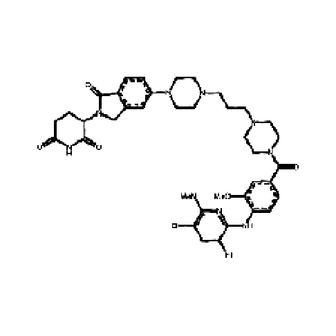 CCC1CC(Cl)=C(NC)N=C1Nc1ccc(C(=O)N2CCN(CCCN3CCN(c4ccc5c(c4)CN(C4CCC(=O)NC4=O)C5=O)CC3)CC2)cc1OC